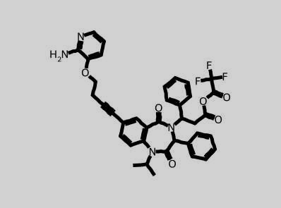 CC(C)N1C(=O)C(c2ccccc2)N(C(CC(=O)OC(=O)C(F)(F)F)c2ccccc2)C(=O)c2cc(C#CCCOc3cccnc3N)ccc21